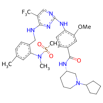 COc1cc(C(=O)N[C@H]2CCCN(C3CCCC3)C2)ccc1Nc1ncc(C(F)(F)F)c(NCc2ccc(C)cc2N(C)S(C)(=O)=O)n1